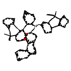 CC1(C)c2ccccc2-c2ccc(N(c3ccc4c(ccc5ccccc54)c3)c3ccccc3-c3cccc4c3-c3ccccc3C4(C)C)cc21